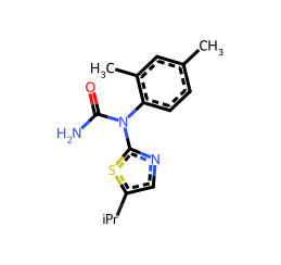 Cc1ccc(N(C(N)=O)c2ncc(C(C)C)s2)c(C)c1